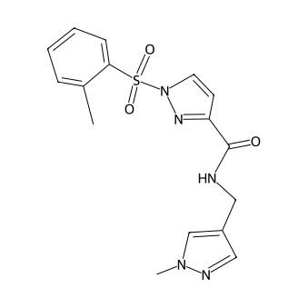 Cc1ccccc1S(=O)(=O)n1ccc(C(=O)NCc2cnn(C)c2)n1